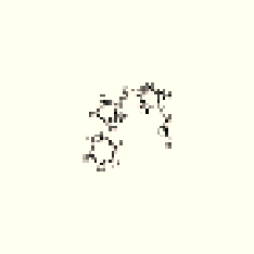 COCc1nnc(Sc2nc(-c3ccccc3)cs2)s1